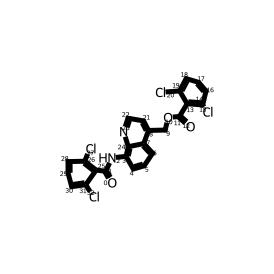 O=C(Nc1cccc2c(COC(=O)c3c(Cl)cccc3Cl)ccnc12)c1c(Cl)cccc1Cl